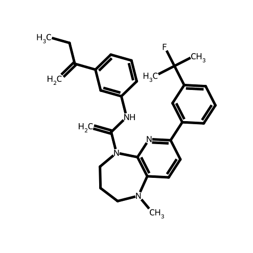 C=C(CC)c1cccc(NC(=C)N2CCCN(C)c3ccc(-c4cccc(C(C)(C)F)c4)nc32)c1